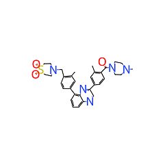 Cc1cc(-c2cccc3ncc(-c4ccc(C(=O)N5CCN(C)CC5)c(C)c4)nc23)ccc1CN1CCS(=O)(=O)CC1